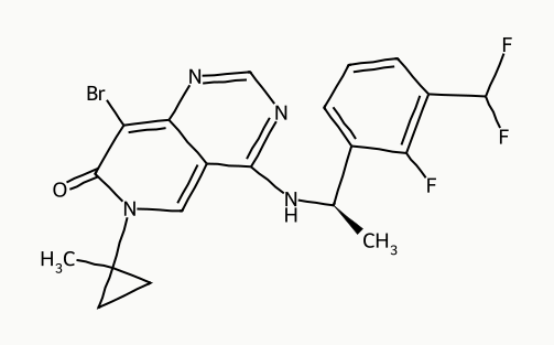 C[C@@H](Nc1ncnc2c(Br)c(=O)n(C3(C)CC3)cc12)c1cccc(C(F)F)c1F